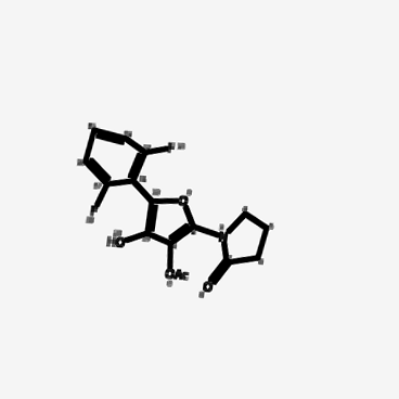 CC(=O)Oc1c(N2CCCC2=O)oc(-c2c(F)cccc2F)c1O